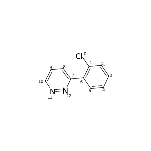 Clc1[c]cccc1-c1cccnn1